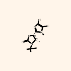 C[C@H]1[C@@H](c2nc(Cl)c(Cl)n2C)OC(=O)N1C(C)(C)C